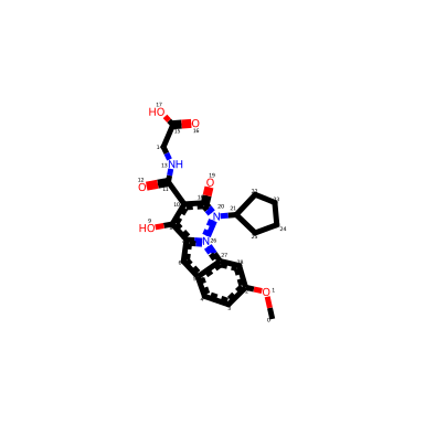 COc1ccc2cc3c(O)c(C(=O)NCC(=O)O)c(=O)n(C4CCCC4)n3c2c1